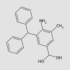 Cc1cc(C(O)O)cc(C(c2ccccc2)c2ccccc2)c1N